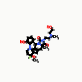 COC1(F)C=CNC2=C1CC1=C2[C@@H](c2cccc(O)c2)N2C(=O)N(CCN(C)CCO)C(=O)[C@]2(C)C1